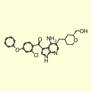 Nc1c(CC2CCO[C@H](CO)C2)cnc2[nH]cc(C(=O)c3ccc(Oc4ccccc4)cc3Cl)c12